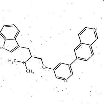 CN(C)[C@H](COc1cncc(-c2ccc3cnccc3c2)c1)Cc1c[nH]c2ccccc12